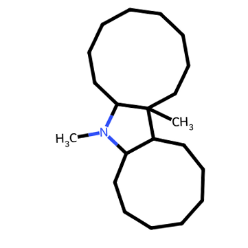 CN1C2CCCCCCCC2C2(C)CCCCCCCCC12